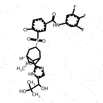 C[C@H]1CC2C[C@@H](S(=O)(=O)c3cc(C(=O)Nc4cc(F)c(F)c(F)c4)ccc3Cl)C[C@H]1[C@@]2(O)c1ncc(C(O)C(C)(C)O)[nH]1